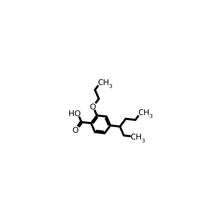 CCCOc1cc(C(CC)CCC)ccc1C(=O)O